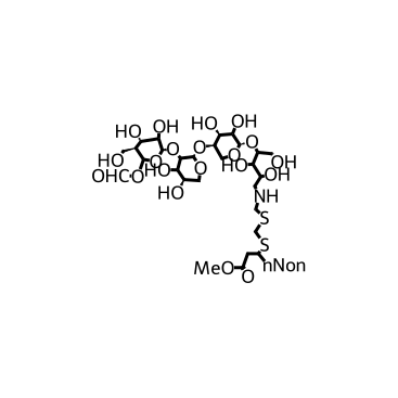 CCCCCCCCCC(CC(=O)OC)SCSCNCC(O)C(O)C(CO)O[C@@H]1OC[C@@H](O[C@@H]2OC[C@@H](O)C(O)C2O[C@H]2OC(OC=O)[C@@H](CO)[C@H](O)C2O)[C@@H](O)C1O